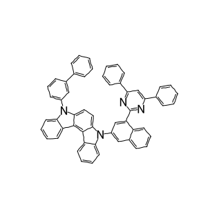 c1ccc(-c2cccc(-n3c4ccccc4c4c5c6ccccc6n(-c6cc(-c7nc(-c8ccccc8)cc(-c8ccccc8)n7)c7ccccc7c6)c5ccc43)c2)cc1